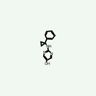 Oc1cnc(NC2(c3ccccc3)CC2)nc1